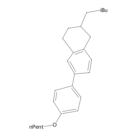 CCCCCOc1ccc(-c2ccc3c(c2)CCC(CC(C)CC)C3)cc1